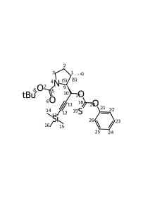 C[C@H]1CCN(C(=O)OC(C)(C)C)[C@@H]1C(C#C[Si](C)(C)C)OC(=S)Oc1ccccc1